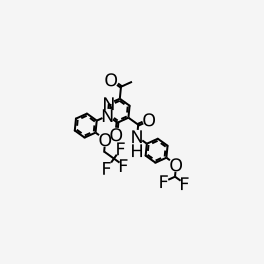 CC(=O)c1cc(C(=O)Nc2ccc(OC(F)F)cc2)c(=O)n(-c2ccccc2OCC(F)(F)F)n1